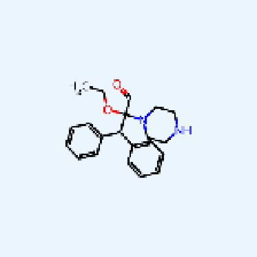 CCOC(C=O)(C(c1ccccc1)c1ccccc1)N1CCNCC1